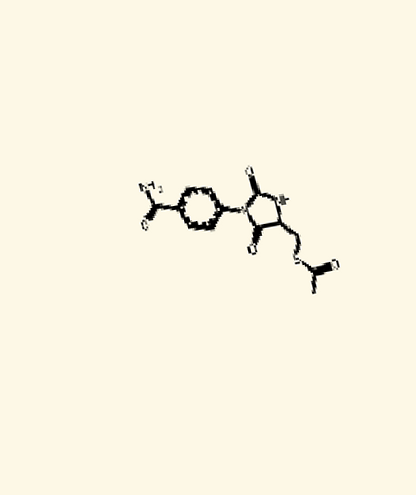 CC(=O)SCC1NC(=O)N(c2ccc(C(N)=O)cc2)C1=O